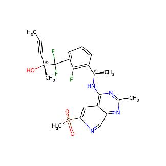 CC#C[C@@](C)(O)C(F)(F)c1cccc([C@@H](C)Nc2nc(C)nc3cnc(S(C)(=O)=O)cc23)c1F